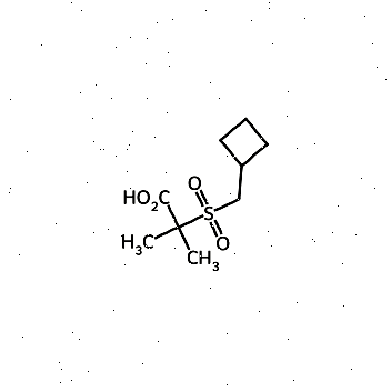 CC(C)(C(=O)O)S(=O)(=O)CC1CCC1